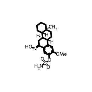 COc1cc2c(cc1OS(N)(=O)=O)/C(=N/O)C[C@@H]1[C@@H]2CC[C@]2(C)CCCC[C@@H]12